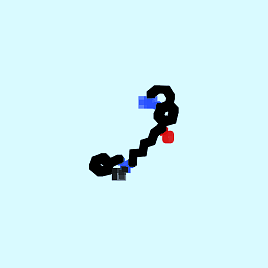 CCN(CCCCCCC(=O)c1ccc2c(c1)NCCCC2)Cc1ccccc1